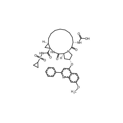 COc1ccc2c(O[C@@H]3C[C@H]4C(=O)N[C@]5(C(=O)NS(=O)(=O)C6CC6)C[C@H]5CCCCCCC[C@H](NC(=O)O)C(=O)N4C3)cc(-c3ccccc3)nc2c1